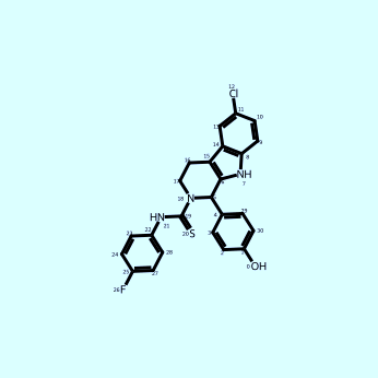 Oc1ccc(C2c3[nH]c4ccc(Cl)cc4c3CCN2C(=S)Nc2ccc(F)cc2)cc1